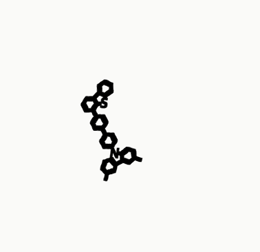 Cc1ccc2c(c1)c1cc(C)ccc1n2-c1ccc(-c2ccc(-c3cccc4c3sc3ccccc34)cc2)cc1